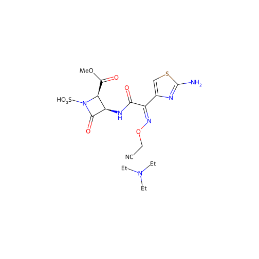 CCN(CC)CC.COC(=O)[C@H]1[C@@H](NC(=O)/C(=N\OCC#N)c2csc(N)n2)C(=O)N1S(=O)(=O)O